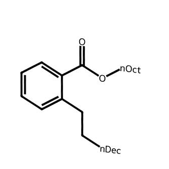 CCCCCCCCCCCCc1ccccc1C(=O)OCCCCCCCC